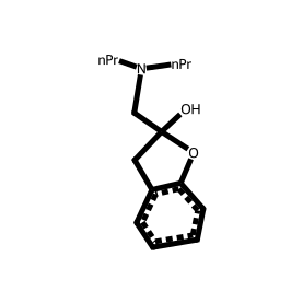 CCCN(CCC)CC1(O)Cc2ccccc2O1